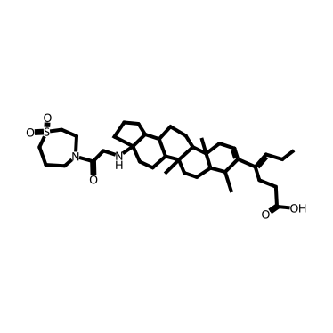 CC/C=C(\CCC(=O)O)C1=CCC2(C)C(CCC3(C)C4CCC5(NCC(=O)N6CCCS(=O)(=O)CC6)CCCC5C4CCC23)C1C